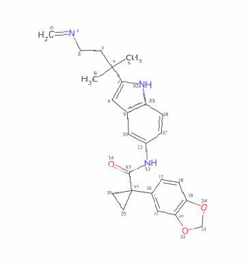 C=NCCC(C)(C)c1cc2cc(NC(=O)C3(c4ccc5c(c4)OCO5)CC3)ccc2[nH]1